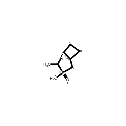 CC(C)P(C)(=O)CC1CCC1